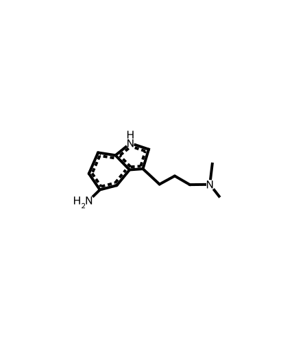 CN(C)CCCc1c[nH]c2ccc(N)cc12